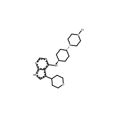 CCN1CCN([C@H]2CC[C@H](Nc3ncnc4[nH]cc(C5CCOCC5)c34)CC2)CC1